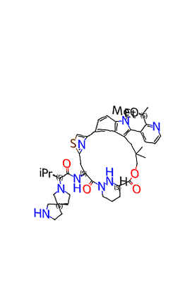 CCn1c(-c2cccnc2[C@H](C)OC)c2c3cc(ccc31)-c1csc(n1)C[C@H](NC(=O)[C@H](C(C)C)N1CC[C@]3(CCNC3)C1)C(=O)N1CCC[C@H](N1)C(=O)OCC(C)(C)C2